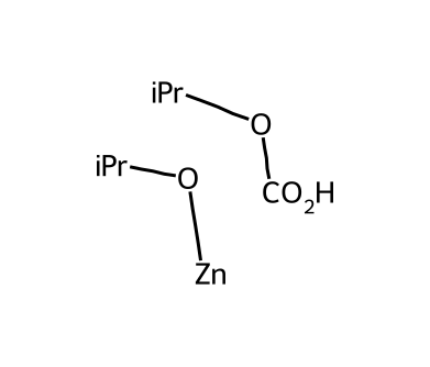 CC(C)OC(=O)O.CC(C)[O][Zn]